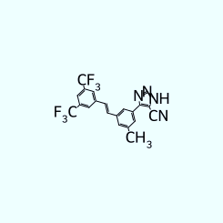 Cc1cc(/C=C/c2cc(C(F)(F)F)cc(C(F)(F)F)c2)cc(-c2nn[nH]c2C#N)c1